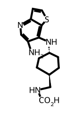 Nc1cnc2ccsc2c1N[C@H]1CC[C@H](CNC(=O)O)CC1